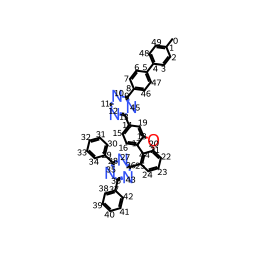 Cc1ccc(-c2ccc(-c3ncnc(-c4ccc5c(c4)oc4cccc(-c6nc(-c7ccccc7)nc(-c7ccccc7)n6)c45)n3)cc2)cc1